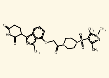 Cc1nn(C)c(C)c1S(=O)(=O)N1CCN(C(=O)COc2cccc3c(C4CCC(=O)NC4=O)nn(C)c23)CC1